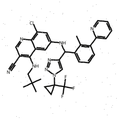 Cc1c(-c2ccccn2)cccc1C(Nc1cc(Cl)c2ncc(C#N)c(NCC(C)(C)C)c2c1)c1cn(C2(C(F)(F)F)CC2)nn1